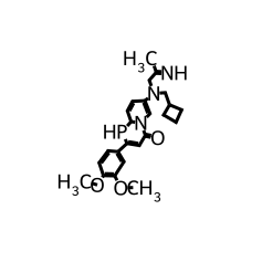 COc1ccc(C2=CC(=O)N3C=C(N(CC(C)=N)CC4CCC4)C=CC3P2)cc1OC